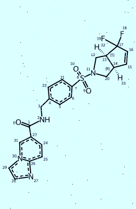 O=C(NCc1ccc(S(=O)(=O)N2C[C@@H]3[C@@H](C=CC3(F)F)C2)cc1)c1ccc2nccn2c1